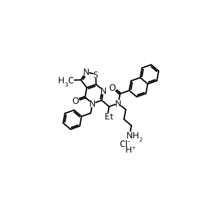 CCC(c1nc2snc(C)c2c(=O)n1Cc1ccccc1)N(CCCN)C(=O)c1ccc2ccccc2c1.[Cl-].[H+]